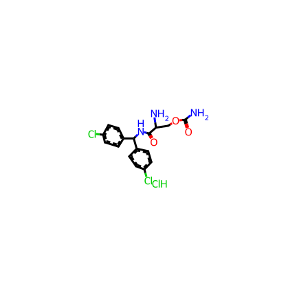 Cl.NC(=O)OCC(N)C(=O)NC(c1ccc(Cl)cc1)c1ccc(Cl)cc1